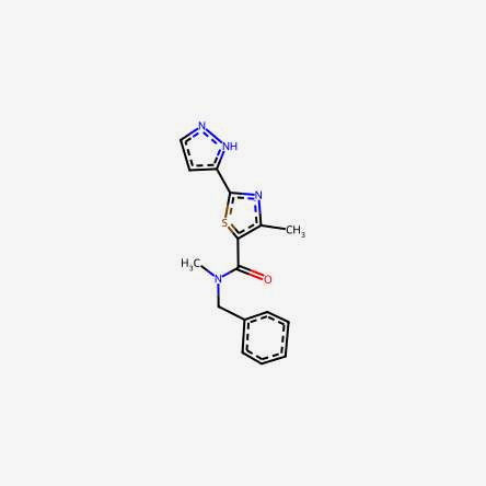 Cc1nc(-c2ccn[nH]2)sc1C(=O)N(C)Cc1ccccc1